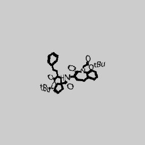 CC(C)(C)OC(=O)CN1C(=O)C(NC(=O)C2(CC(CCc3ccccc3)C(=O)OC(C)(C)C)CCCC2)CCc2ccccc21